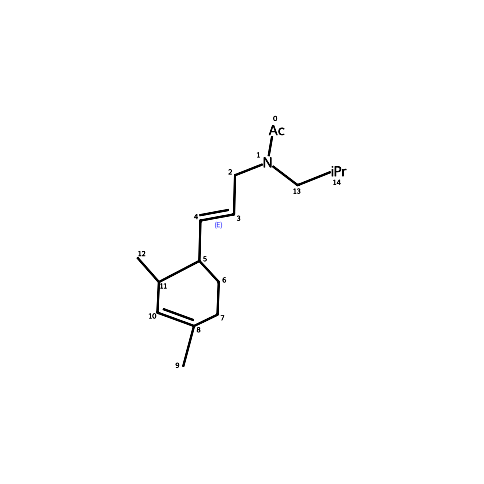 CC(=O)N(C/C=C/C1CCC(C)=CC1C)CC(C)C